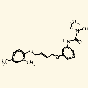 CON(C)C(=O)Nc1cccc(OC/C=C/COc2ccc(C)cc2C)c1